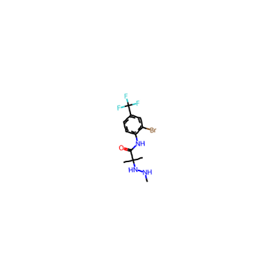 CNNC(C)(C)C(=O)Nc1ccc(C(F)(F)F)cc1Br